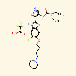 CCN(CC)C(=O)Nc1c[nH]nc1-c1nc2cc(OCCCCN3CCCCC3)c(F)cc2[nH]1.O=C(O)C(F)(F)F